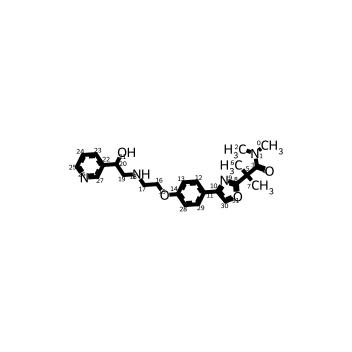 CN(C)C(=O)C(C)(C)c1nc(-c2ccc(OCCNCC(O)c3cccnc3)cc2)co1